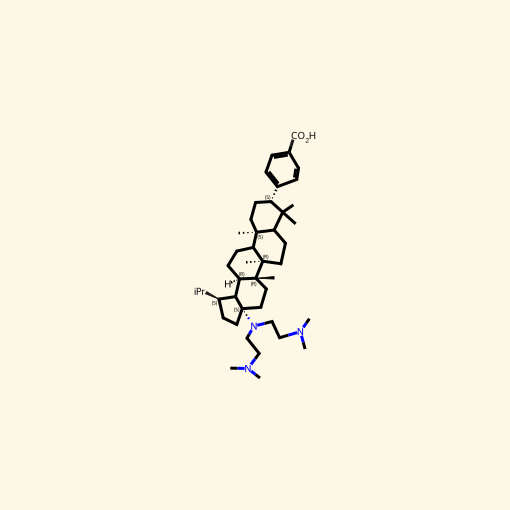 CC(C)[C@@H]1CC[C@]2(N(CCN(C)C)CCN(C)C)CC[C@]3(C)[C@H](CCC4[C@@]5(C)CC[C@H](c6ccc(C(=O)O)cc6)C(C)(C)C5CC[C@]43C)C12